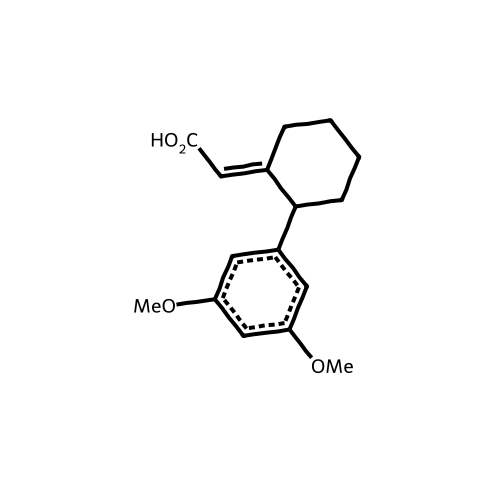 COc1cc(OC)cc(C2CCCCC2=CC(=O)O)c1